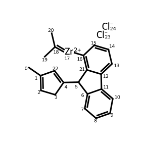 CC1=CCC(C2c3ccccc3-c3ccc[c]([Zr+2]=[C](C)C)c32)=C1.[Cl-].[Cl-]